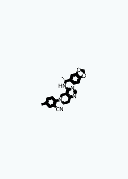 Cc1ccc(N2CCc3ncnc(N[C@H](C)c4ccc5c(c4)OCO5)c3C2)c(C#N)c1